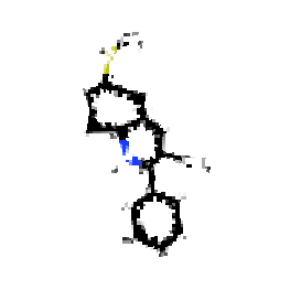 Cc1cc2cc(SC(F)(F)F)ccc2nc1-c1ccccc1